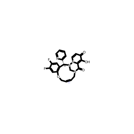 O=C1c2c(O)c(=O)ccn2N2CN1C/C=C\COc1cc(F)c(F)cc1[C@@H]2c1ccccn1